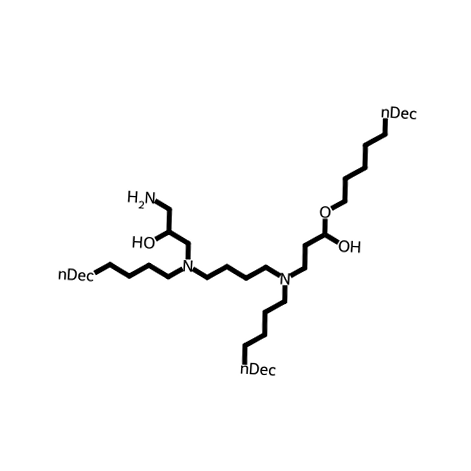 CCCCCCCCCCCCCCCOC(O)CCN(CCCCCCCCCCCCCC)CCCCN(CCCCCCCCCCCCCC)CC(O)CN